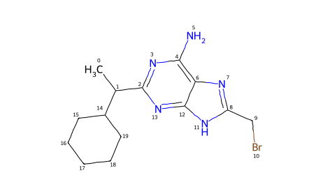 CC(c1nc(N)c2nc(CBr)[nH]c2n1)C1CCCCC1